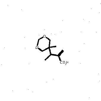 C=C(C(=O)O)C(C)C1(C)COCOC1